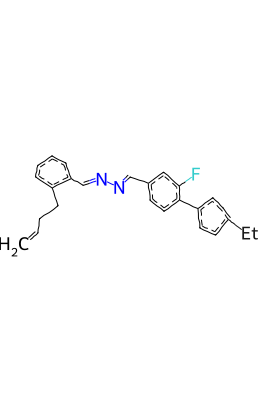 C=CCCc1ccccc1C=NN=Cc1ccc(-c2ccc(CC)cc2)c(F)c1